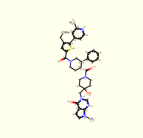 COCc1cc(C(=O)N2CC[C@@H](C(=O)N3CCC(O)(Cn4cnc5c(ccn5C)c4=O)CC3)[C@H](c3ccccc3)C2)sc1-c1ccnc(C)c1